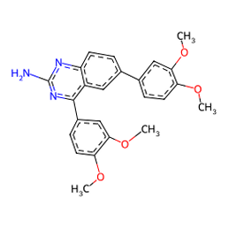 COc1ccc(-c2ccc3nc(N)nc(-c4ccc(OC)c(OC)c4)c3c2)cc1OC